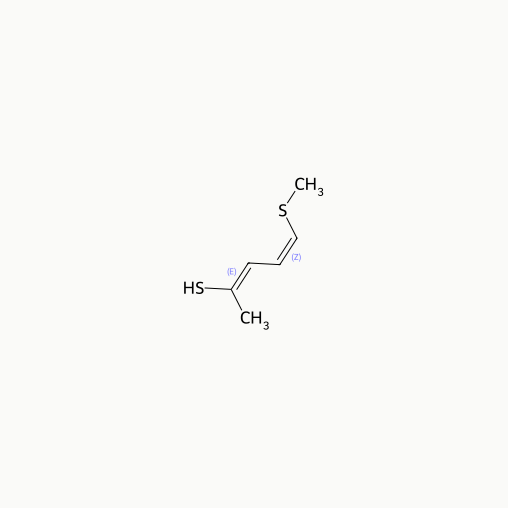 CS/C=C\C=C(/C)S